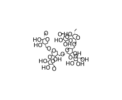 CC[C@@H]1CO[C@@H](COC[C@@H]2CO[C@@H](COC[C@@H]3CO[C@@H](COC[C@@H]4CO[C@@H](COC)C(O)C4O)C(O[C@@H]4O[C@@H](C=O)C(O)[C@@H]4O)[C@@H]3O)C(O[C@@H]3O[C@@H](CO)[C@@H](O)C3O)C2O)C(O[C@@H]2O[C@@H](C=O)C(O)[C@@H]2O)[C@@H]1O